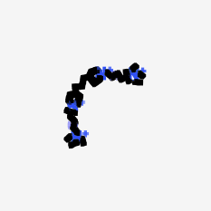 CC[N+](CC)(CC)C/C=C/CC(C)(C)[n+]1ccc(CCCc2cc[n+](C/C=C/CC(C)(C)[N+](CC)(CC)CC)cc2)cc1